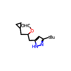 CC(C)(C)c1cc(CC(CC2CC2)OC=O)[nH]n1